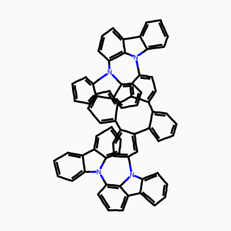 c1ccc2c(c1)-c1ccc(-n3c4ccccc4c4cccc(-n5c6ccccc6c6ccccc65)c43)cc1-c1ccccc1-c1ccc(-n3c4ccccc4c4cccc(-n5c6ccccc6c6ccccc65)c43)cc1-2